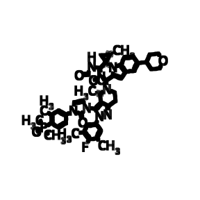 Cc1cc(-n2ccn(-c3c4c(nn3-c3cc(C)c(F)c(C)c3)CCN(C(=O)c3cc5cc(C6CCOCC6)ccc5n3[C@@]3(c5noc(=O)[nH]5)C[C@@H]3C)[C@H]4C)c2=O)ccc1P(C)(C)=O